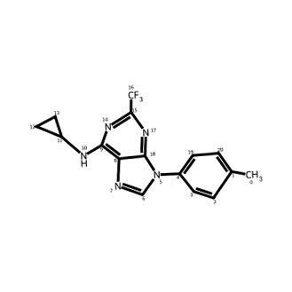 Cc1ccc(-n2cnc3c(NC4CC4)nc(C(F)(F)F)nc32)cc1